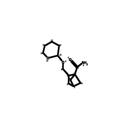 NC(=O)C12CC(CC1COC1CCCCO1)C2